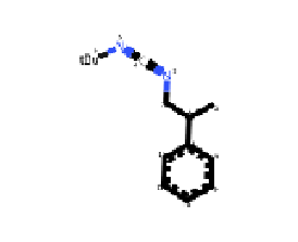 CC(CN=C=NC(C)(C)C)c1ccccc1